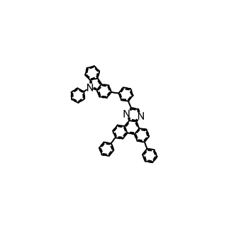 c1ccc(-c2ccc3c(c2)c2cc(-c4ccccc4)ccc2c2nc(-c4cccc(-c5ccc6c(c5)c5ccccc5n6-c5ccccc5)c4)cnc32)cc1